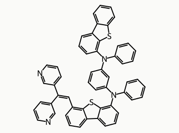 C(=C(c1cccnc1)c1cccnc1)c1cccc2c1sc1c(N(c3ccccc3)c3cccc(N(c4ccccc4)c4cccc5c4sc4ccccc45)c3)cccc12